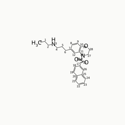 CCCNCCCc1ccc2c(c1)N(S(=O)(=O)c1ccc3ccccc3c1)CCO2